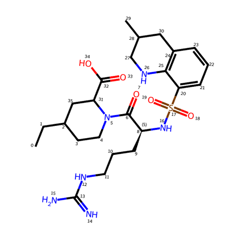 CCC1CCN(C(=O)[C@H](CCCNC(=N)N)NS(=O)(=O)c2cccc3c2NCC(C)C3)C(C(=O)O)C1